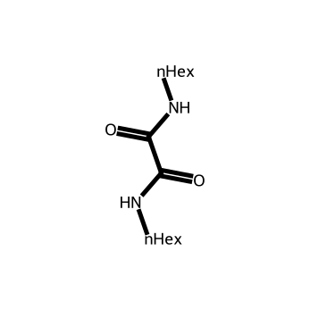 CCCCCCNC(=O)C(=O)NCCCCCC